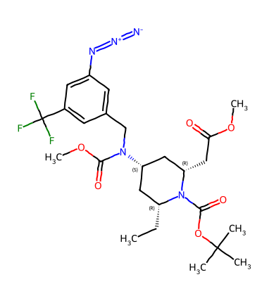 CC[C@@H]1C[C@H](N(Cc2cc(N=[N+]=[N-])cc(C(F)(F)F)c2)C(=O)OC)C[C@H](CC(=O)OC)N1C(=O)OC(C)(C)C